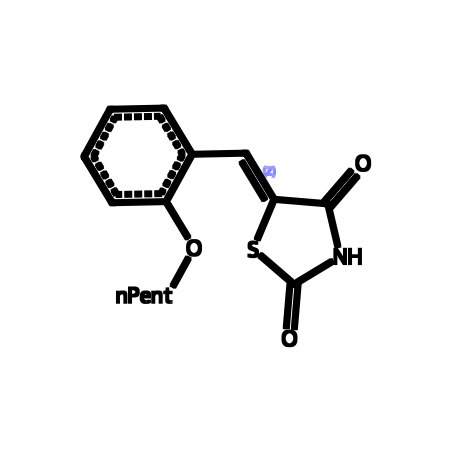 CCCCCOc1ccccc1/C=C1\SC(=O)NC1=O